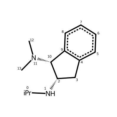 CC(C)N[C@H]1Cc2ccccc2[C@H]1N(C)C